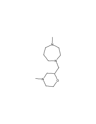 CN1CCCN(CC2CN(C)CCO2)CC1